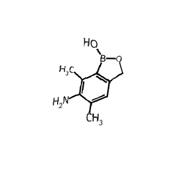 Cc1cc2c(c(C)c1N)B(O)OC2